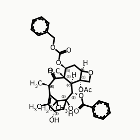 CC(=O)O[C@@]12CO[C@@H]1C[C@H](OC(=O)OCc1ccccc1)[C@@]1(C)C(=O)[C@H](C)C3=C(C)[C@@H](O)C[C@@](O)([C@@H](OC(=O)c4ccccc4)[C@H]21)C3(C)C